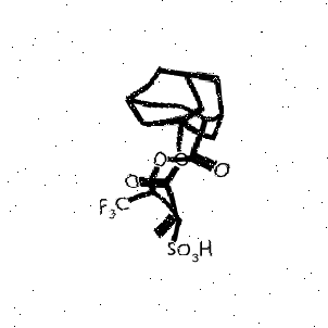 C=CC(=O)OC12CC3CC(C1)C(C(=O)OC(CS(=O)(=O)O)C(F)(F)F)C(C3)C2